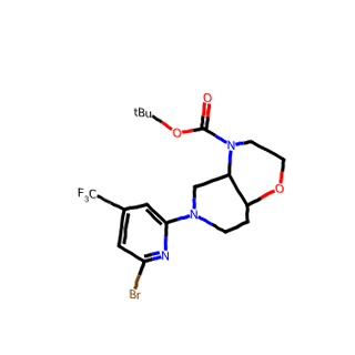 CC(C)(C)OC(=O)N1CCOC2CCN(c3cc(C(F)(F)F)cc(Br)n3)CC21